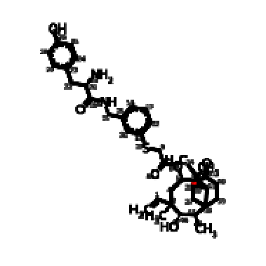 C=C[C@]1(C)C[C@@H](OC(=O)CSc2cccc(CNC(=O)[C@H](N)Cc3ccc(O)cc3)c2)[C@]2(C)C(C)CC34CC(CCC3=O)(C42)[C@@H](C)[C@@H]1O